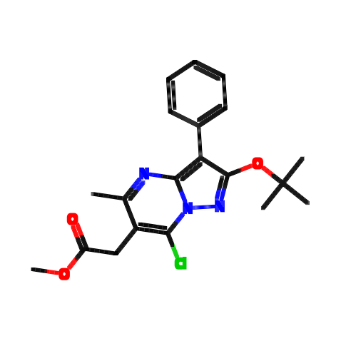 COC(=O)Cc1c(C)nc2c(-c3ccccc3)c(OC(C)(C)C)nn2c1Cl